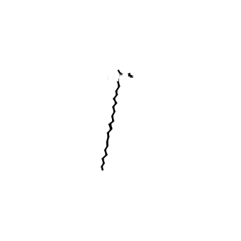 CC(=O)O.CC(=O)O.CCCCCCCCCCC=CCCCCCCCCCC